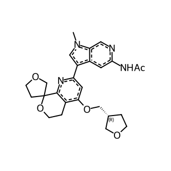 CC(=O)Nc1cc2c(-c3cc(OC[C@@H]4CCOC4)c4c(n3)C3(CCOC3)OCC4)cn(C)c2cn1